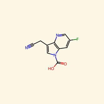 N#CCc1cn(C(=O)O)c2cc(F)cnc12